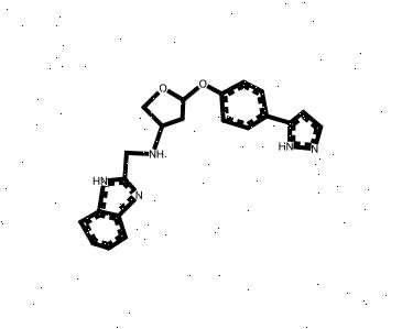 c1ccc2[nH]c(CNC3COC(Oc4ccc(-c5ccn[nH]5)cc4)C3)nc2c1